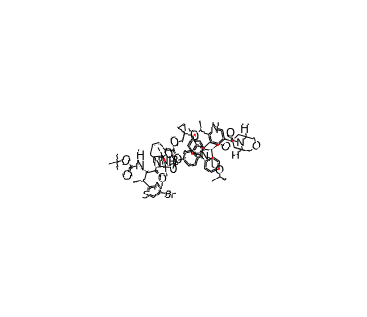 CO[C@@H](C)c1ncc([C@@H]2C[C@H]3COC[C@@H](C2)N3C(=O)OCC2c3ccccc3-c3ccccc32)cc1-c1c(CC2(COC(=O)[C@@H]3CCCN(C(=O)[C@@H](NC(=O)OC(C)(C)C)[C@H](C)c4nc(Br)cs4)N3)CC2)c2cc(B3OC(C)(C)C(C)(C)O3)ccc2n1CCOC(C)C